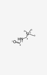 C[Si](C)(C)CNC=O